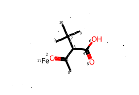 CC(=O)C(C(=O)O)C(C)(C)C.[Fe]